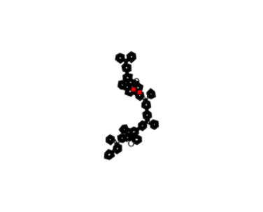 c1ccc(-c2cccc(N(c3ccccc3)c3ccc4c(c3)-c3oc5ccccc5c3C43c4ccccc4-c4cc(-c5ccc(N(c6ccccc6)c6ccc(-c7ccc(N(c8ccccc8)c8ccc(-c9ccc%10c(c9)C9(c%11ccccc%11-%10)c%10ccc(-c%11ccc(C(c%12ccccc%12)c%12ccccc%12)cc%11)cc%10-c%10oc%11ccccc%11c%109)cc8)cc7)cc6)cc5)ccc43)c2)cc1